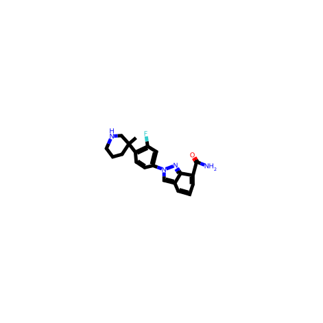 CC1(c2ccc(-n3cc4cccc(C(N)=O)c4n3)cc2F)CCCNC1